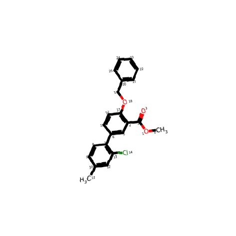 COC(=O)c1cc(-c2ccc(C)cc2Cl)ccc1OCc1ccccc1